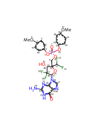 COc1ccc(OP(=O)(OC[C@@]2(C(F)F)O[C@@H](n3cnc4c(=O)[nH]c(N)nc43)C(F)(F)[C@@H]2O)Oc2ccc(OC)cc2)cc1